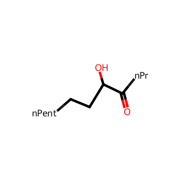 CCCCCCCC(O)C(=O)CCC